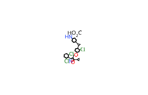 O=C(O)CNc1ccc(C2CC2c2ccc(OCc3c(-c4c(Cl)cccc4Cl)noc3C3CC3)cc2Cl)cc1